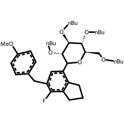 CCCCOC[C@H]1OC(c2cc(Cc3ccc(OC)cc3)c(F)c3c2CCC3)[C@H](OCCCC)[C@@H](OCCCC)[C@@H]1OCCCC